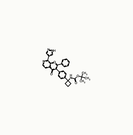 CC(C)(C)OC(=O)NC1(c2ccc(-c3c(-c4ccccc4)oc4c(-c5cn[nH]c5)nccc4c3=O)cc2)CCC1